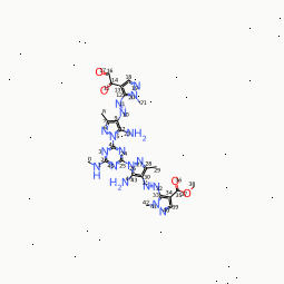 CNc1nc(-n2nc(C)c(/N=N/c3c(C(=O)C=O)cnn3C)c2N)nc(-n2nc(C)c(/N=N/c3c(C(=O)OC)cnn3C)c2N)n1